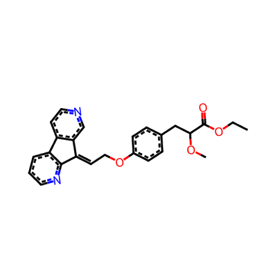 CCOC(=O)C(Cc1ccc(OC/C=C2\c3cnccc3-c3cccnc32)cc1)OC